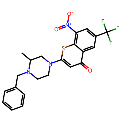 CC1CN(c2cc(=O)c3cc(C(F)(F)F)cc([N+](=O)[O-])c3s2)CCN1Cc1ccccc1